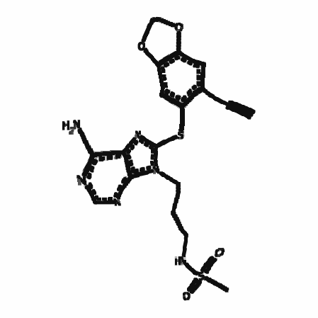 C#Cc1cc2c(cc1Sc1nc3c(N)ncnc3n1CCCNS(C)(=O)=O)OCO2